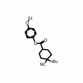 CCCCC1(C#N)CCC(C(=O)Oc2ccc(OCC)cc2)CC1